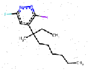 CCCCCCC(C)(CC)c1cc(F)nnc1I